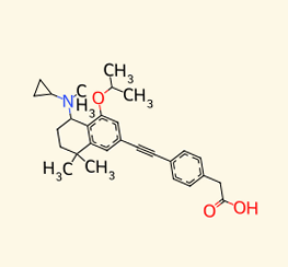 CC(C)Oc1cc(C#Cc2ccc(CC(=O)O)cc2)cc2c1C(N(C)C1CC1)CCC2(C)C